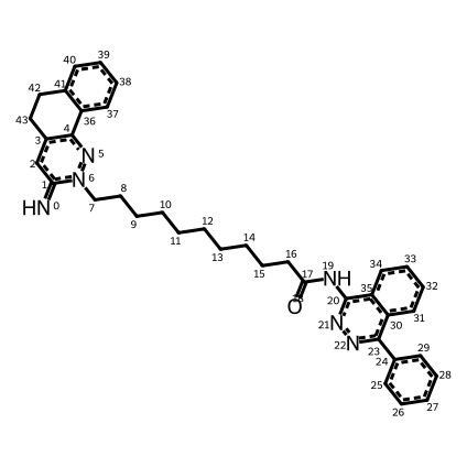 N=c1cc2c(nn1CCCCCCCCCCC(=O)Nc1nnc(-c3ccccc3)c3ccccc13)-c1ccccc1CC2